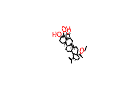 C=C(C)[C@@H]1CC[C@]2(C(=C)OCC)CC[C@]3(C)C(CCC4[C@@]5(C)CC[C@H](O)[C@@](C)(CO)[C@@H]5CC[C@]43C)C12